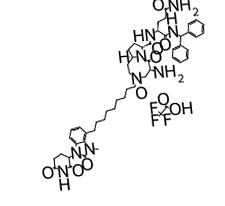 Cn1c(=O)n(C2CCC(=O)NC2=O)c2cccc(CCCCCCCCC(=O)N3CC[C@H]4CC[C@@H](C(=O)N[C@@H](CCC(N)=O)C(=O)NC(c5ccccc5)c5ccccc5)N4C(=O)[C@@H](N)C3)c21.O=C(O)C(F)(F)F